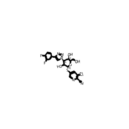 N#Cc1ncc(S[C@H]2OC(CO)[C@H](O)[C@H](n3cc(-c4ccc(F)c(F)c4)nn3)C2O)cc1Cl